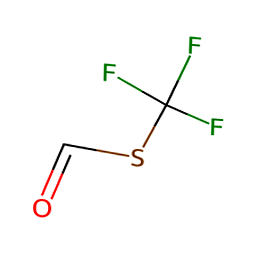 O=CSC(F)(F)F